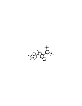 CCS(CC)(C1C(C)=C(C)C(C)=C1C)C1C(C)=Cc2c1cc1c(c2-c2cc(C(C)(C)C)cc(C(C)(C)C)c2)CCC1